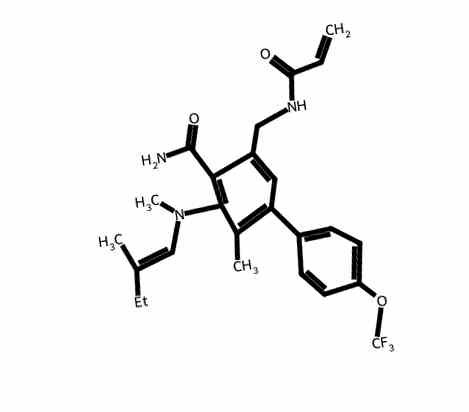 C=CC(=O)NCc1cc(-c2ccc(OC(F)(F)F)cc2)c(C)c(N(C)/C=C(\C)CC)c1C(N)=O